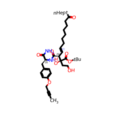 CC#CCOc1ccc(C[C@H](NC(=O)[C@@H](/C=C/CCCCCCC(=O)CCCCCCC)[C@@](O)(CCO)C(=O)OC(C)(C)C)C(N)=O)cc1